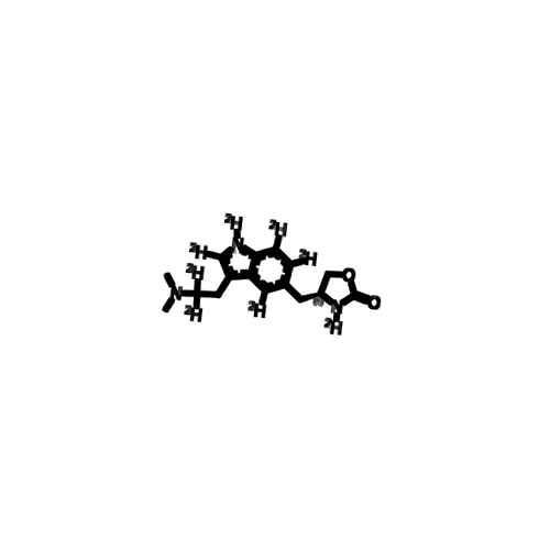 [2H]c1c(C[C@H]2COC(=O)N2[2H])c([2H])c2c(CC([2H])([2H])N(C)C)c([2H])n([2H])c2c1[2H]